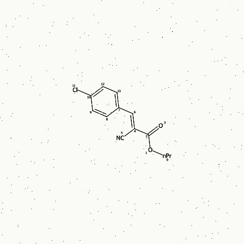 CCCOC(=O)/C(C#N)=C/c1ccc(Cl)cc1